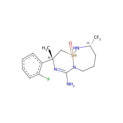 C[C@@]1(c2ccccc2F)C[SH]2(=O)N[C@H](C(F)(F)F)CCCN2C(N)=N1